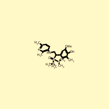 COc1cc(C(CNc2ccc(C)nc2C)P(=O)(N(C)C)N(C)C)cc(C)c1O